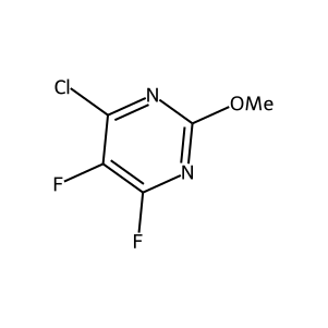 COc1nc(F)c(F)c(Cl)n1